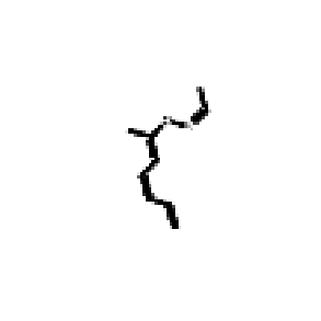 C=C/C=C\C=C(/C)O/N=C\C